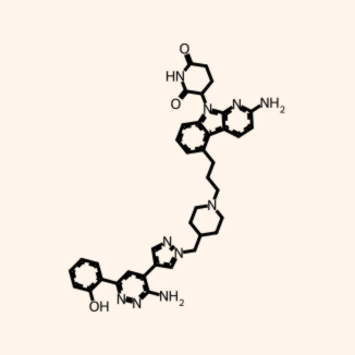 Nc1ccc2c3c(CCCN4CCC(Cn5cc(-c6cc(-c7ccccc7O)nnc6N)cn5)CC4)cccc3n(C3CCC(=O)NC3=O)c2n1